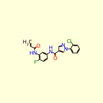 C=CC(=O)Nc1cc(NC(=O)c2cnn(-c3ccccc3Cl)c2)ccc1F